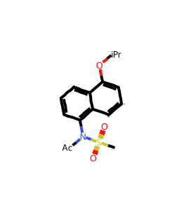 CC(=O)N(c1cccc2c(OC(C)C)c[c][c]c12)S(C)(=O)=O